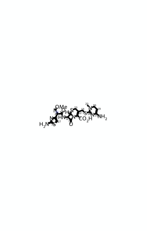 CO/N=C(\C(=O)NC1C(=O)N2C(C(=O)O)=C(CSC3=NC(N)=CCN3C)CS[C@@H]12)c1csc(N)n1